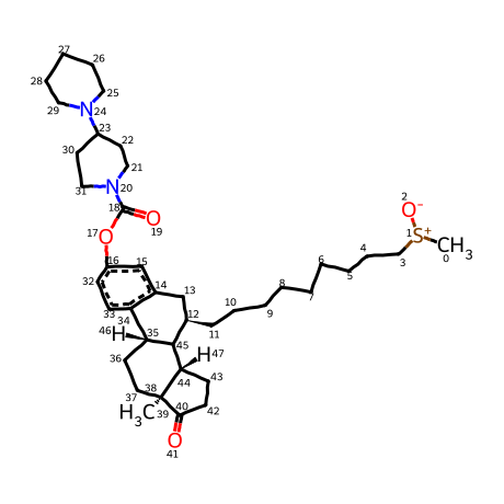 C[S+]([O-])CCCCCCCCC[C@@H]1Cc2cc(OC(=O)N3CCC(N4CCCCC4)CC3)ccc2[C@H]2CC[C@]3(C)C(=O)CC[C@H]3C12